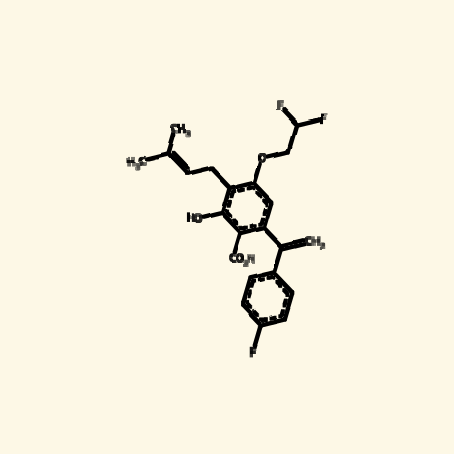 C=C(c1ccc(F)cc1)c1cc(OCC(F)F)c(CC=C(C)C)c(O)c1C(=O)O